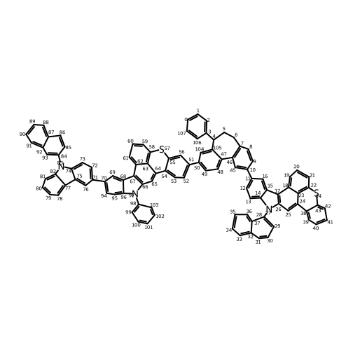 c1ccc(C2CCc3ccc(-c4ccc5c(c4)c4c6cccc7c6c(cc4n5-c4cccc5ccccc45)-c4ccccc4S7)cc3-c3ccc(-c4ccc5c(c4)Sc4cccc6c4c-5cc4c6c5cc(-c6ccc7c(c6)c6ccccc6n7-c6ccc7ccccc7c6)ccc5n4-c4ccccc4)cc32)cc1